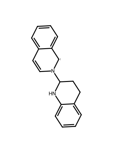 [C]1c2ccccc2C=CN1C1CCc2ccccc2N1